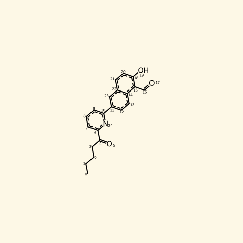 CCCCC(=O)c1cccc(-c2ccc3c(C=O)c(O)ccc3c2)n1